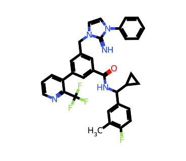 Cc1cc(C(NC(=O)c2cc(Cn3ccn(-c4ccccc4)c3=N)cc(-c3cccnc3C(F)(F)F)c2)C2CC2)ccc1F